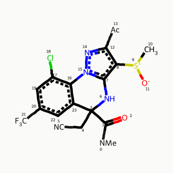 CNC(=O)C1(CC#N)Nc2c([S+](C)[O-])c(C(C)=O)nn2-c2c(Cl)cc(C(F)(F)F)cc21